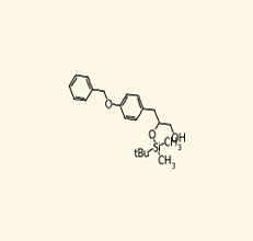 CC(C)(C)[Si](C)(C)OC(CO)Cc1ccc(OCc2ccccc2)cc1